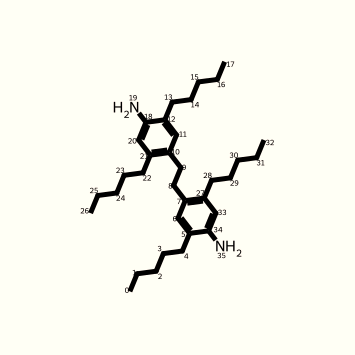 CCCCCc1cc(CCc2cc(CCCCC)c(N)cc2CCCCC)c(CCCCC)cc1N